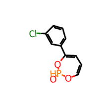 O=[PH]1OC=CC=C(c2cccc(Cl)c2)O1